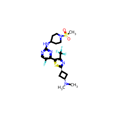 CN(C)[C@H]1C[C@@H](c2nc(C(F)(F)F)c(-c3nc(NC4CCN(S(C)(=O)=O)CC4)ncc3F)s2)C1